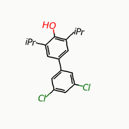 CC(C)c1cc(-c2cc(Cl)cc(Cl)c2)cc(C(C)C)c1O